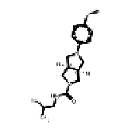 CCOc1ccc(N2C[C@H]3CN(C(=O)NCC(C)O)C[C@H]3C2)cc1